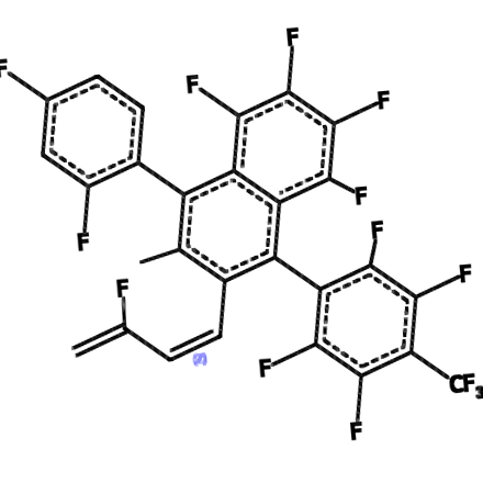 C=C(F)/C=C\c1c(C)c(-c2ccc(F)cc2F)c2c(F)c(F)c(F)c(F)c2c1-c1c(F)c(F)c(C(F)(F)F)c(F)c1F